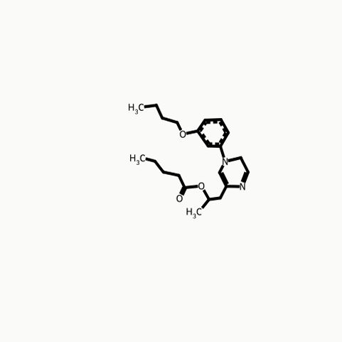 CCCCOc1cccc(N2C=C(CC(C)OC(=O)CCCC)N=CC2)c1